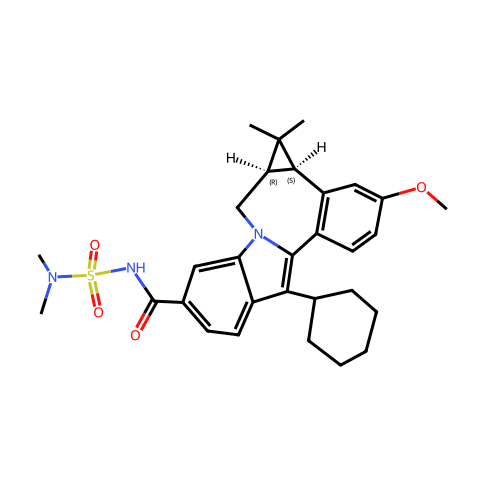 COc1ccc2c(c1)[C@H]1[C@@H](Cn3c-2c(C2CCCCC2)c2ccc(C(=O)NS(=O)(=O)N(C)C)cc23)C1(C)C